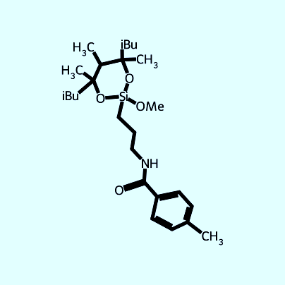 CCC(C)C1(C)O[Si](CCCNC(=O)c2ccc(C)cc2)(OC)OC(C)(C(C)CC)C1C